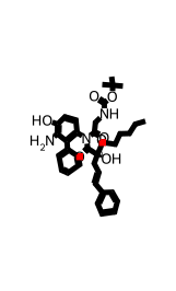 CCCCCC(=O)[C@](O)(CC=Cc1ccccc1)C(=O)N(C(=O)CNC(=O)OC(C)(C)C)c1ccc(O)c(N)c1-c1ccccc1